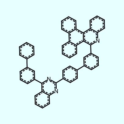 c1ccc(-c2cccc(-c3nc(-c4ccc(-c5cccc(-c6nc7ccccc7c7c8ccccc8c8ccccc8c67)c5)cc4)nc4ccccc34)c2)cc1